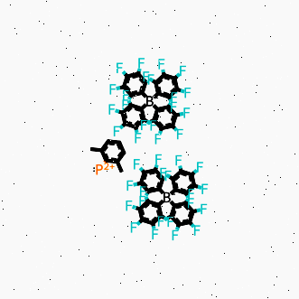 Cc1cccc(C)c1[P+2].Fc1c(F)c(F)c([B-](c2c(F)c(F)c(F)c(F)c2F)(c2c(F)c(F)c(F)c(F)c2F)c2c(F)c(F)c(F)c(F)c2F)c(F)c1F.Fc1c(F)c(F)c([B-](c2c(F)c(F)c(F)c(F)c2F)(c2c(F)c(F)c(F)c(F)c2F)c2c(F)c(F)c(F)c(F)c2F)c(F)c1F